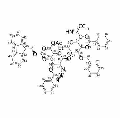 CCC1OC(OC(=N)C(Cl)(Cl)Cl)C(OC(=O)c2ccccc2)[C@H](OCc2ccccc2)[C@H]1O[C@@H]1OC(COC(C)=O)[C@H](OC(=O)OCC2c3ccccc3-c3ccccc32)[C@@H](OCc2ccccc2)C1N=[N+]=[N-]